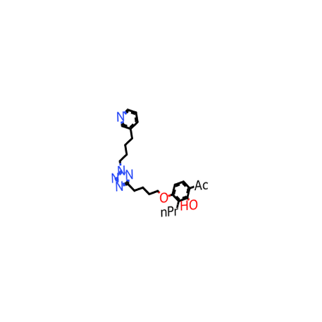 CCCc1c(OCCCCc2nnn(CCCCc3cccnc3)n2)ccc(C(C)=O)c1O